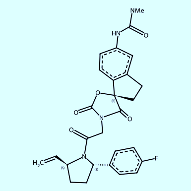 C=C[C@@H]1CC[C@@H](c2ccc(F)cc2)N1C(=O)CN1C(=O)O[C@@]2(CCc3cc(NC(=O)NC)ccc32)C1=O